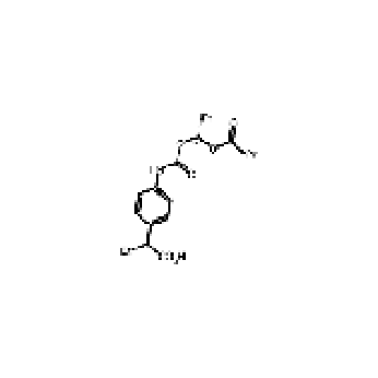 CCC(C(=O)O)c1ccc(NC(=O)O[C@@H](OC(=O)C(C)C)C(C)C)cc1